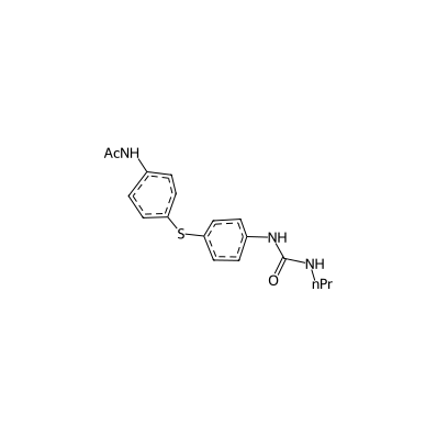 CCCNC(=O)Nc1ccc(Sc2ccc(NC(C)=O)cc2)cc1